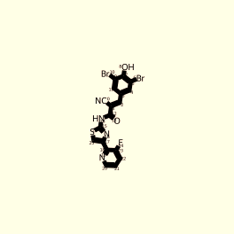 N#C/C(=C\c1cc(Br)c(O)c(Br)c1)C(=O)Nc1nc(-c2ncccc2F)cs1